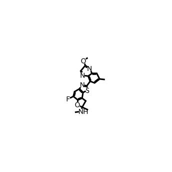 CNC1(C)Cc2c(c(F)cc3nc(-c4cc(C)cc5nc(OC)cnc45)sc23)O1